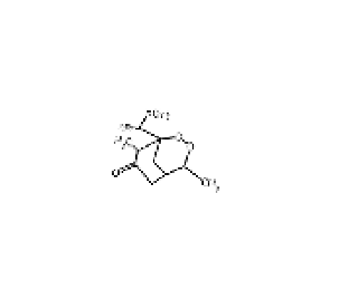 CCCCCCCCC(CCC)C12CC(CC(=O)C1C)C(C)OO2